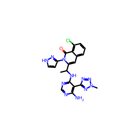 CC(Nc1ncnc(N)c1-c1nnn(C)n1)c1cc2cccc(Cl)c2c(=O)n1-c1cc[nH]n1